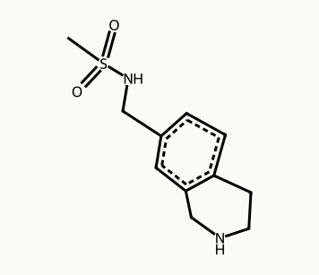 CS(=O)(=O)NCc1ccc2c(c1)CNCC2